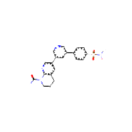 CCN(O)S(=O)(=O)c1ccc(-c2cncc(-c3cnc4c(c3)CCCN4C(N)=O)c2)cc1